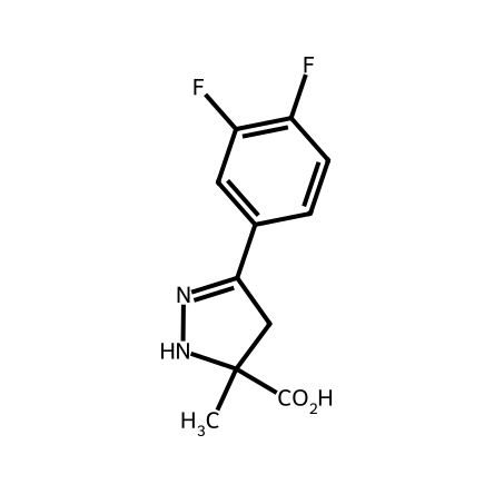 CC1(C(=O)O)CC(c2ccc(F)c(F)c2)=NN1